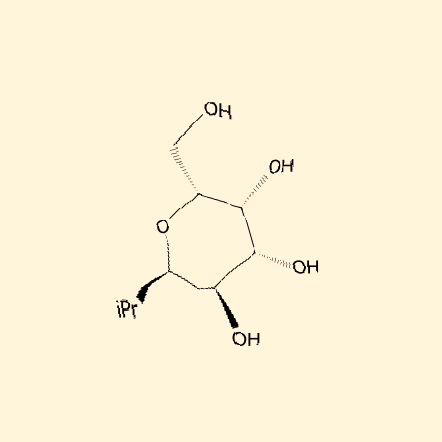 CC(C)[C@H]1O[C@H](CO)[C@H](O)[C@H](O)[C@H]1O